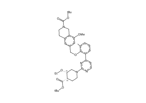 CCO[C@@H]1CN(c2nccc(-c3cccc(C)c3OCc3cc4c(c(OC)c3)CN(C(=O)OC(C)(C)C)CC4)n2)CC[C@@H]1C(=O)OC(C)(C)C